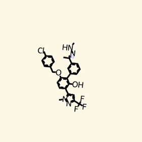 CN/N=C(\C)c1cccc(-c2c(OCc3ccc(Cl)cc3)ccc(-c3cc(C(F)(F)F)nn3C)c2O)c1